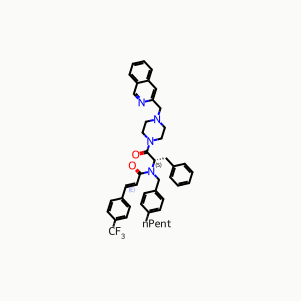 CCCCCc1ccc(CN(C(=O)/C=C/c2ccc(C(F)(F)F)cc2)[C@@H](Cc2ccccc2)C(=O)N2CCN(Cc3cc4ccccc4cn3)CC2)cc1